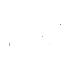 Cc1nc2ccnc(Cl)c2n1Cc1ccc([N+](=O)[O-])cc1